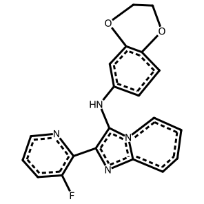 Fc1cccnc1-c1nc2ccccn2c1Nc1ccc2c(c1)OCCO2